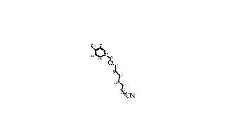 Cc1ccc(COCCCCCSC#N)cc1